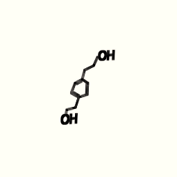 OCCCc1ccc(CCO)cc1